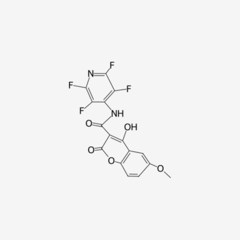 COc1ccc2oc(=O)c(C(=O)Nc3c(F)c(F)nc(F)c3F)c(O)c2c1